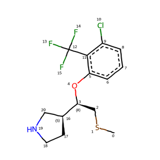 CSC[C@H](Oc1cccc(Cl)c1C(F)(F)F)[C@H]1CCNC1